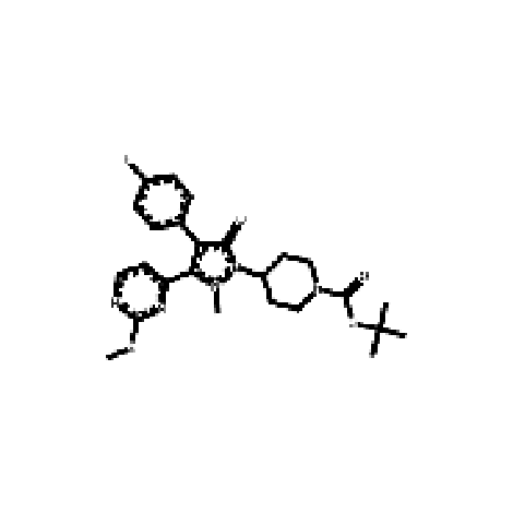 CSc1nccc(-c2c(-c3ccc(F)cc3)c(=O)n(C3CCN(C(=O)OC(C)(C)C)CC3)n2C)n1